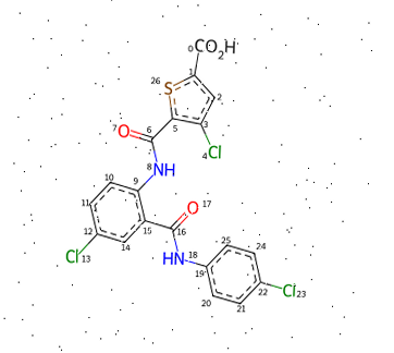 O=C(O)c1cc(Cl)c(C(=O)Nc2ccc(Cl)cc2C(=O)Nc2ccc(Cl)cc2)s1